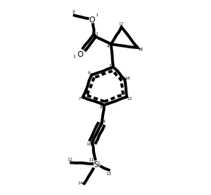 COC(=O)C1(c2ccc(C#C[Si](C)(C)C)cc2)CC1